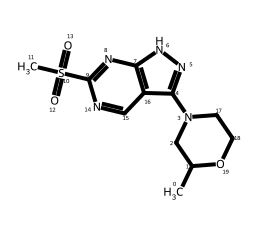 CC1CN(c2n[nH]c3nc(S(C)(=O)=O)ncc23)CCO1